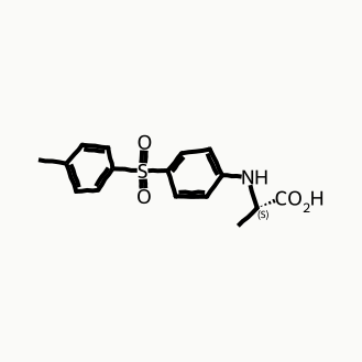 Cc1ccc(S(=O)(=O)c2ccc(N[C@@H](C)C(=O)O)cc2)cc1